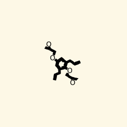 C=CCc1cc(OCC2CO2)cc(CC=C)c1OCC1CO1